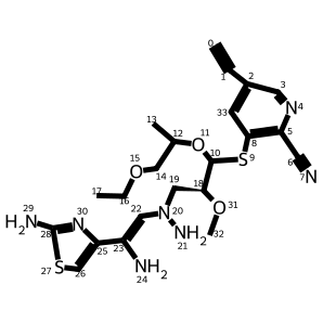 C#Cc1cnc(C#N)c(SC(OC(C)COCC)[C@H](CN(N)/C=C(\N)c2csc(N)n2)OC)c1